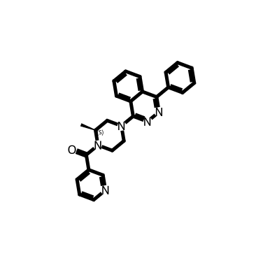 C[C@H]1CN(c2nnc(-c3ccccc3)c3ccccc23)CCN1C(=O)c1cccnc1